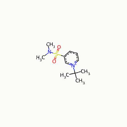 CN(C)S(=O)(=O)c1ccc[n+](C(C)(C)C)c1